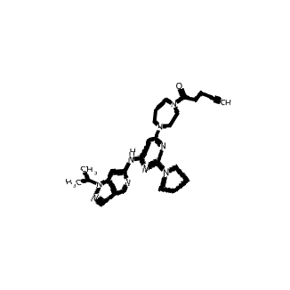 C#CCCC(=O)N1CCCN(c2cc(Nc3cc4c(cn3)cnn4C(C)C)nc(N3CCCC3)n2)CC1